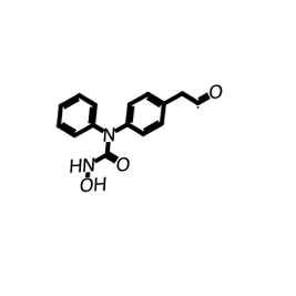 O=[C]Cc1ccc(N(C(=O)NO)c2ccccc2)cc1